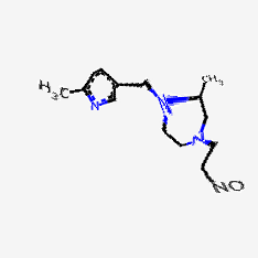 Cc1ccc(CN2CCN(CCN=O)CC2C)cn1